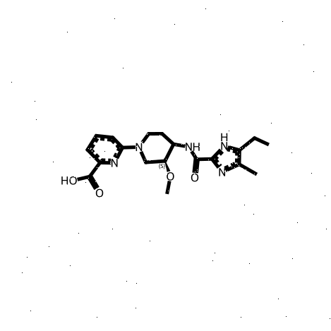 CCc1[nH]c(C(=O)NC2CCN(c3cccc(C(=O)O)n3)C[C@@H]2OC)nc1C